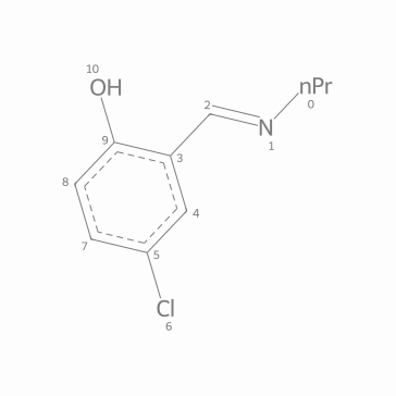 CCCN=Cc1cc(Cl)ccc1O